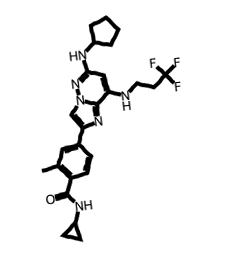 Cc1cc(-c2cn3nc(NC4CCCC4)cc(NCCC(F)(F)F)c3n2)ccc1C(=O)NC1CC1